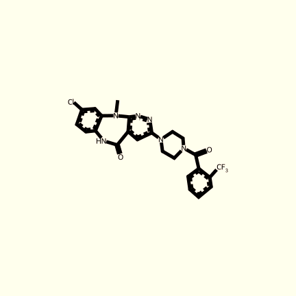 CN1c2cc(Cl)ccc2NC(=O)c2cc(N3CCN(C(=O)c4ccccc4C(F)(F)F)CC3)nnc21